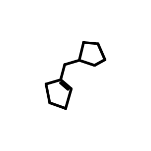 C1=C(CC2CCCC2)CCC1